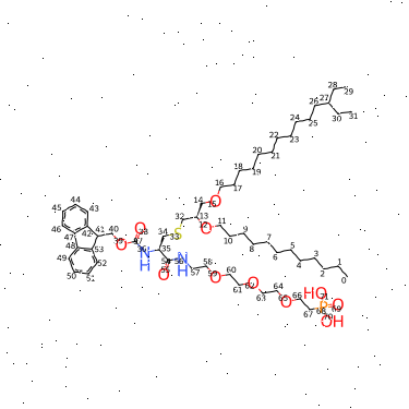 CCCCCCCCCCCCO[C@H](COCCCCCCCCCCCC(CC)CC)CSC[C@H](NC(=O)OCC1c2ccccc2-c2ccccc21)C(=O)NCCOCCOCCOCCP(=O)(O)O